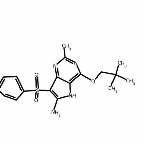 Cc1nc(OCC(C)(C)C)c2[nH]c(N)c(S(=O)(=O)c3ccccc3)c2n1